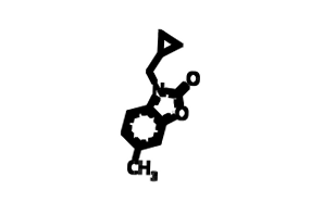 Cc1ccc2c(c1)oc(=O)n2CC1CC1